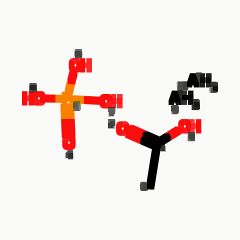 CC(=O)O.O=P(O)(O)O.[AlH3].[AlH3]